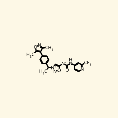 Cc1noc(C)c1-c1ccc(C(C)[n+]2cc([N-]C(=O)Nc3ccnc(C(F)(F)F)c3)on2)cc1